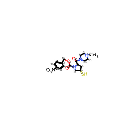 CN1CCN(C(=O)C2CC(S)CN2C(=O)OCc2ccc([N+](=O)[O-])cc2)CC1